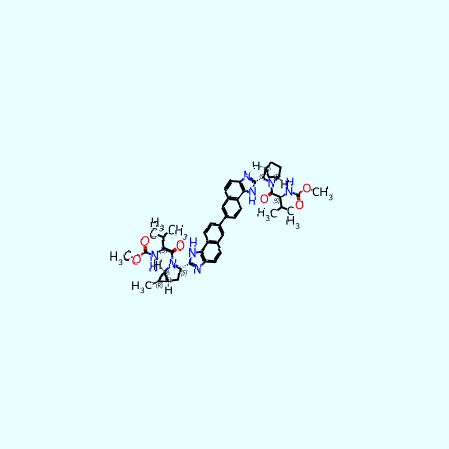 COC(=O)N[C@H](C(=O)N1[C@@H]2CC[C@@H](C2)[C@H]1c1nc2ccc3cc(-c4ccc5c(ccc6nc([C@@H]7C[C@H]8[C@@H](C)[C@H]8N7C(=O)[C@@H](NC(=O)OC)C(C)C)[nH]c65)c4)ccc3c2[nH]1)C(C)C